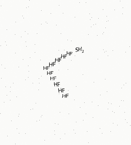 F.F.F.F.F.F.F.F.F.F.S